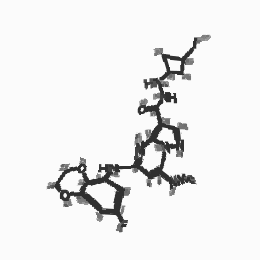 CNc1cc(Nc2cc(F)cc3c2OCCO3)nc2c(C(=O)NNC3CC(F)C3)cnn12